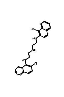 Sc1c(NCCNCCNc2c(Cl)ccc3ccccc23)ccc2ccccc12